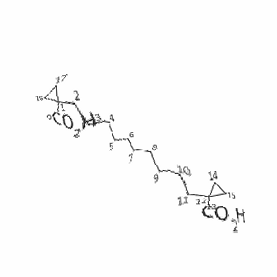 O=C(O)C1(CCCCCCCCCCC2(C(=O)O)CC2)CC1